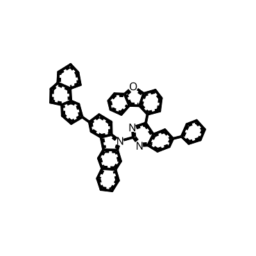 c1ccc(-c2ccc3nc(-n4c5ccc(-c6ccc7ccc8ccccc8c7c6)cc5c5cc6ccccc6cc54)nc(-c4cccc5oc6ccccc6c45)c3c2)cc1